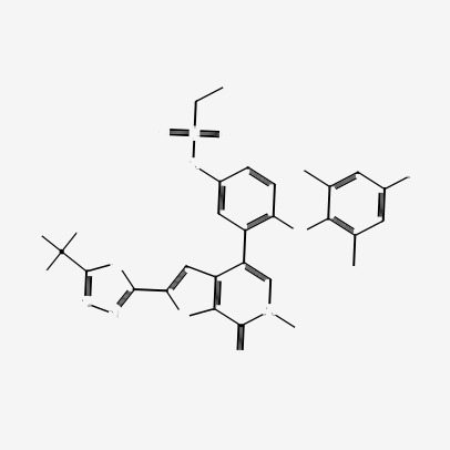 CCS(=O)(=O)Nc1ccc(Oc2c(C)cc(F)cc2C)c(-c2cn(C)c(=O)c3sc(-c4nnc(C(F)(F)F)o4)cc23)c1